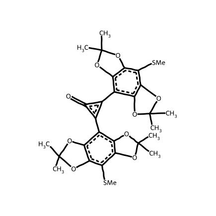 CSc1c2c(c(-c3c(-c4c5c(c(SC)c6c4OC(C)(C)O6)OC(C)(C)O5)c3=O)c3c1OC(C)(C)O3)OC(C)(C)O2